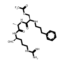 C[C@H](NC(=O)[C@@H](COC(=O)C(F)(F)F)NCCCc1ccccc1)C(=O)N[C@H](C=O)CCCNC(=N)N